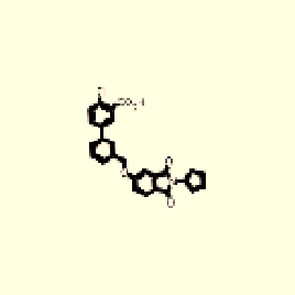 O=C(O)c1cc(-c2cccc(COc3ccc4c(c3)C(=O)N(C3CCCC3)C4=O)c2)ccc1Cl